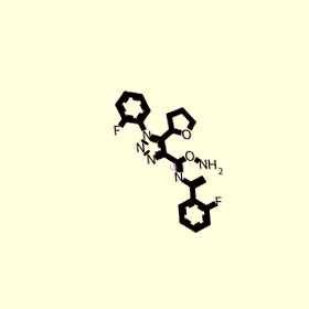 C=C(/N=C(\ON)c1nnn(-c2ccccc2F)c1C1CCCO1)c1ccccc1F